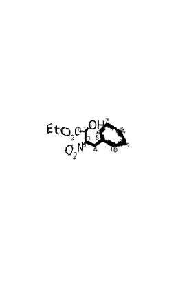 CCOC(=O)[C@@H](O)[C@H](Cc1ccccc1)[N+](=O)[O-]